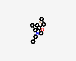 c1ccc(-c2ccc(N(c3ccc(-c4ccccc4)cc3)c3cccc4oc5c(-c6cccc7c6sc6ccccc67)c6ccccc6cc5c34)cc2)cc1